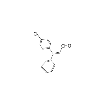 O=CC=C(c1ccccc1)c1ccc(Cl)cc1